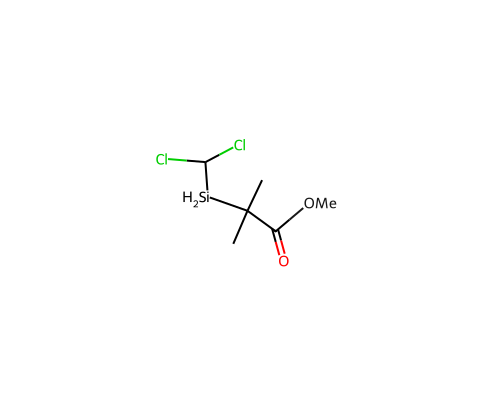 COC(=O)C(C)(C)[SiH2]C(Cl)Cl